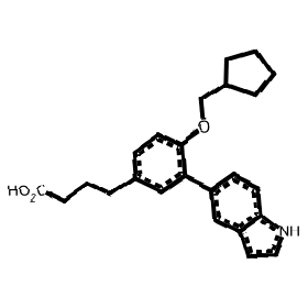 O=C(O)CCCc1ccc(OCC2CCCC2)c(-c2ccc3[nH]ccc3c2)c1